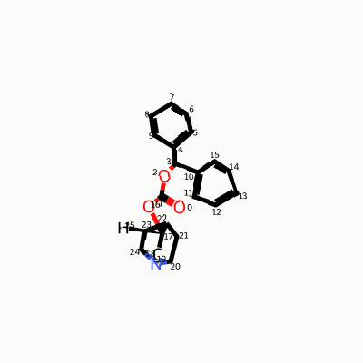 O=C(OC(c1ccccc1)c1ccccc1)O[C@H]1CN2CCC1CC2